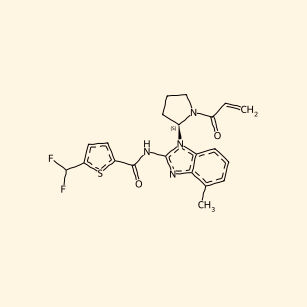 C=CC(=O)N1CCC[C@@H]1n1c(NC(=O)c2ccc(C(F)F)s2)nc2c(C)cccc21